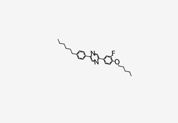 CCCCCCc1ccc(-c2cnc(-c3ccc(OCCCCC)c(F)c3)cn2)cc1